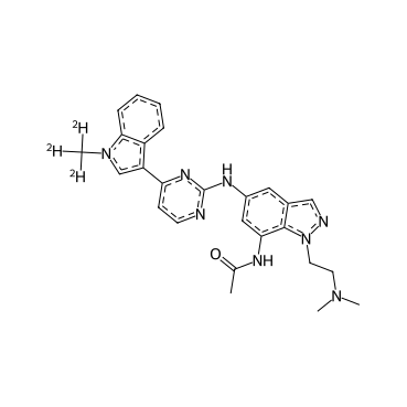 [2H]C([2H])([2H])n1cc(-c2ccnc(Nc3cc(NC(C)=O)c4c(cnn4CCN(C)C)c3)n2)c2ccccc21